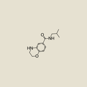 CC(C)CNC(=O)c1ccc2c(c1)NCCO2